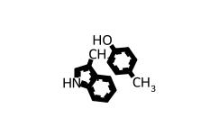 Cc1c[nH]c2ccccc12.Cc1ccc(O)cc1